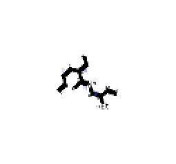 C=C\C=C/C(=C\C)C(/C)=N/C=C(\C=C)CC